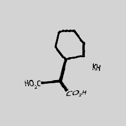 O=C(O)C(C(=O)O)C1CCCCC1.[KH]